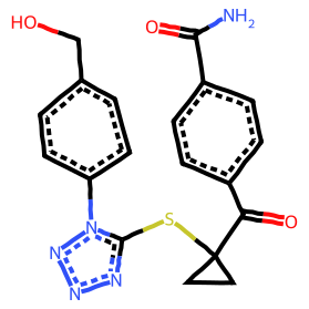 NC(=O)c1ccc(C(=O)C2(Sc3nnnn3-c3ccc(CO)cc3)CC2)cc1